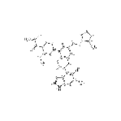 C=C(F)C(=O)N1CCN(c2nc(OCC3CCCN3C)nc3c2COC(c2c(Cl)c(C)cc4[nH]ncc24)C3)CC1CC#N